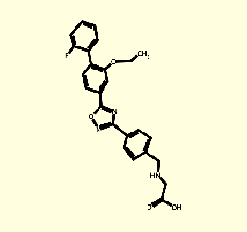 CCOc1cc(-c2nc(-c3ccc(CNCC(=O)O)cc3)no2)ccc1-c1ccccc1F